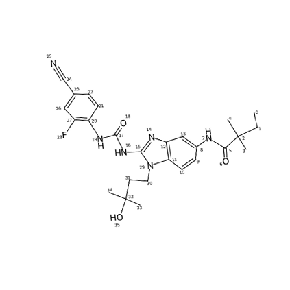 CCC(C)(C)C(=O)Nc1ccc2c(c1)nc(NC(=O)Nc1ccc(C#N)cc1F)n2CCC(C)(C)O